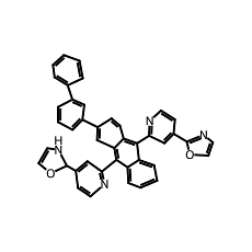 C1=COC(c2ccnc(-c3c4ccccc4c(-c4cc(-c5ncco5)ccn4)c4ccc(-c5cccc(-c6ccccc6)c5)cc34)c2)N1